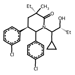 CC[C@@H](O)C(C1CC1)N1C(=O)[C@@](C)(CC)C[C@H](c2cccc(Cl)c2)C1c1ccc(Cl)cc1